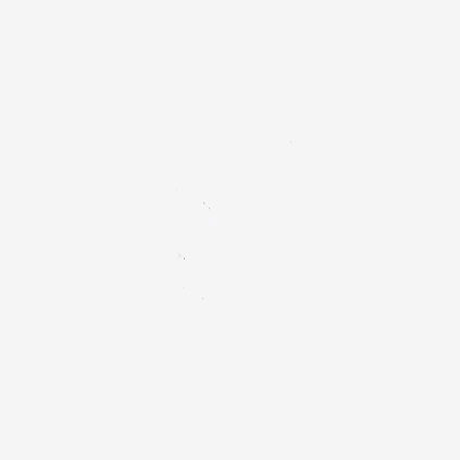 C=C(C)C1=CCC(CC2(C/C(=N/C(=O)C(C)O)N(CC)C(=C)C)CCCC2)=CC=C1